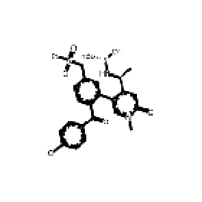 CCCC[S@+]([O-])N[C@@H](C)c1cc(=O)n(C)cc1-c1cc(CS(=O)(=O)CC)ccc1C(=O)c1ccc(Cl)cc1